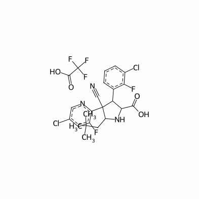 CC(C)(C)CC1NC(C(=O)O)C(c2cccc(Cl)c2F)C1(C#N)c1ncc(Cl)cc1F.O=C(O)C(F)(F)F